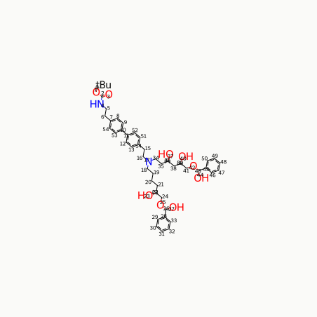 CC(C)(C)OC(=O)NCCc1ccc(-c2ccc(CCN(CCCC[C@H](O)COC(O)c3ccccc3)CC[C@@H](O)C[C@H](O)COC(O)c3ccccc3)cc2)cc1